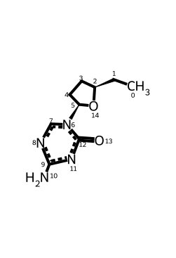 CC[C@@H]1CC[C@H](n2cnc(N)nc2=O)O1